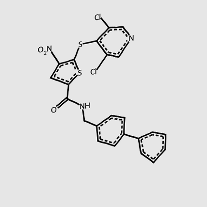 O=C(NCc1ccc(-c2ccccc2)cc1)c1cc([N+](=O)[O-])c(Sc2c(Cl)cncc2Cl)s1